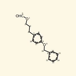 O=[C]OCCCc1ccc(OCc2ccccc2)cc1